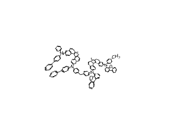 Cc1ccc(N(c2ccc3c(ccc4sc5ccc6cc(N(c7ccc(Cc8ccc(N(c9ccc(-c%10ccccc%10)cc9)c9ccc%10c(ccc%11sc%12ccc%13cc(N(c%14ccccc%14)c%14ccc(-c%15ccccc%15)cc%14)ccc%13c%12c%11%10)c9)cc8)cc7)c7cccc8c7oc7ccccc78)ccc6c5c43)c2)c2cccc3c2oc2ccccc23)cc1